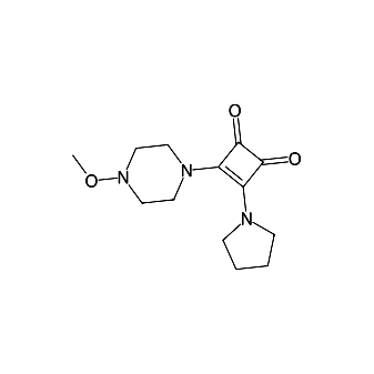 CON1CCN(c2c(N3CCCC3)c(=O)c2=O)CC1